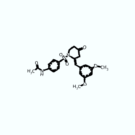 COc1cc(C=C2CC(=O)CCN2S(=O)(=O)c2ccc(NC(C)=O)cc2)cc(OC)c1